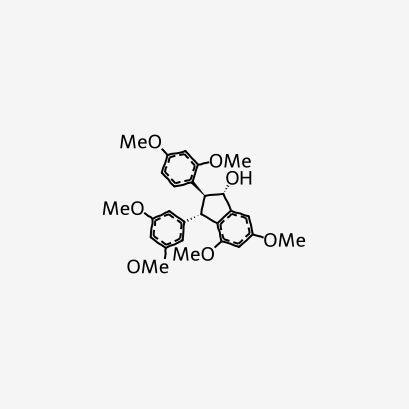 COc1cc(OC)cc([C@H]2c3c(OC)cc(OC)cc3[C@@H](O)[C@@H]2c2ccc(OC)cc2OC)c1